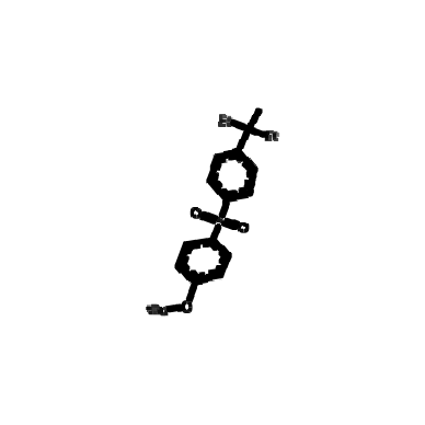 CCC(C)(CC)c1ccc(S(=O)(=O)c2ccc(OC(C)(C)C)cc2)cc1